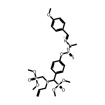 C=CCN(CP(=O)(OC)OC)C(c1ccc(O[PH](=S)N(C)/N=C/c2ccc(OC)cc2)cc1)P(=O)(OC)OC